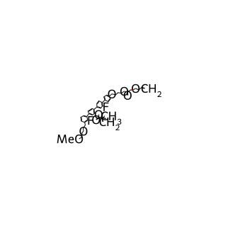 C=CCOCCC(=O)OCCCOc1ccc(-c2ccc(-c3ccc(-c4cccc(CCOCCOC)c4F)cc3OC(=O)C(=C)C)cc2F)cc1